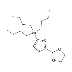 CCC[CH2][Sn]([CH2]CCC)([CH2]CCC)[c]1ccc(C2OCCO2)s1